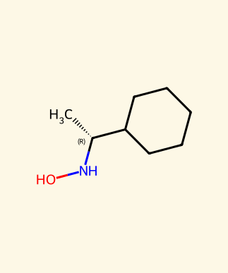 C[C@@H](NO)C1CCCCC1